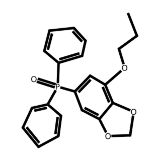 CCCOc1cc(P(=O)(c2ccccc2)c2ccccc2)cc2c1OCO2